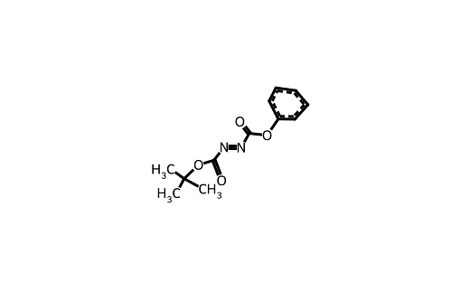 CC(C)(C)OC(=O)N=NC(=O)Oc1ccccc1